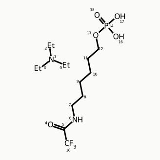 CCN(CC)CC.O=C(NCCCCCCOP(=O)(O)O)C(F)(F)F